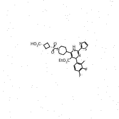 CCOC(=O)C1=C(C2CCN(S(=O)(=O)[C@H]3C[C@@H](C(=O)O)C3)CC2)NC(c2nccs2)=NC1c1ccc(F)c(F)c1C